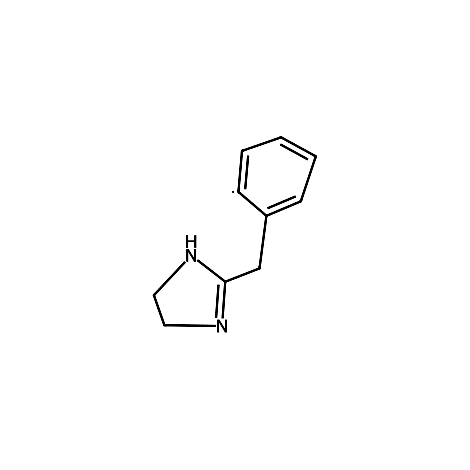 [c]1ccccc1CC1=NCCN1